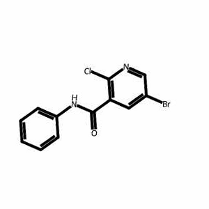 O=C(Nc1ccccc1)c1cc(Br)cnc1Cl